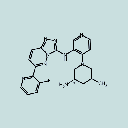 CC1C[C@H](N)CN(c2ccncc2Nc2nnc3ccc(-c4ncccc4F)nn23)C1